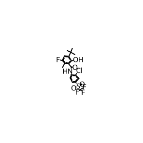 Cc1c(F)cc(C(C)(C)C)c(O)c1C(=O)Nc1ccc(S(=O)(=O)C(F)(F)F)cc1Cl